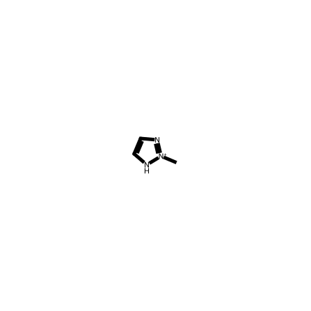 C[n+]1ncc[nH]1